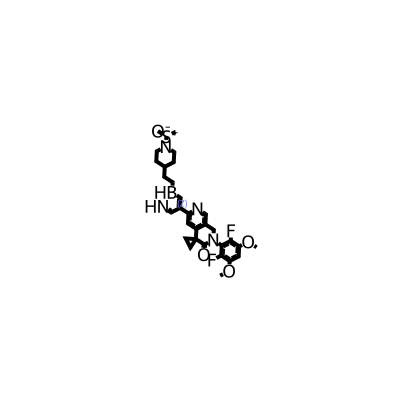 COc1cc(OC)c(F)c(N2Cc3cnc(/C(C=N)=C/BCCC4CCN([S+](C)[O-])CC4)cc3C3(CC3)C2=O)c1F